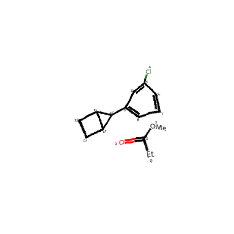 CCC(=O)OC.Clc1cccc(C2C3CCC32)c1